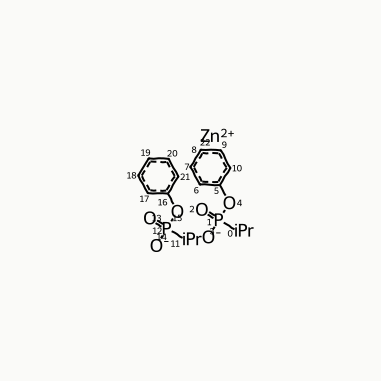 CC(C)P(=O)([O-])Oc1ccccc1.CC(C)P(=O)([O-])Oc1ccccc1.[Zn+2]